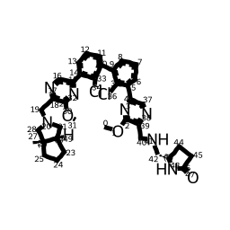 COc1nc(-c2cccc(-c3cccc(-c4cnc(CN5C[C@@H]6CCC[C@]6(C)C5)c(OC)n4)c3Cl)c2Cl)cnc1CNC[C@@H]1CCC(=O)N1